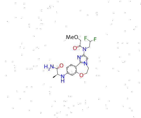 COCC(=O)N(CC(F)F)c1cn2c(n1)-c1ccc(N[C@@H](C)C(N)=O)cc1OCC2